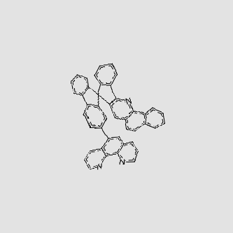 c1ccc2c(c1)-c1ccc(-c3cc4cccnc4c4ncccc34)cc1C21c2ccccc2-c2nc3c(ccc4ccccc43)cc21